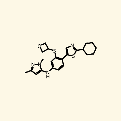 Cc1cc(Nc2ccc(-c3cnc(C4CCCCC4)s3)c(SC3COC3)c2)n(C)n1